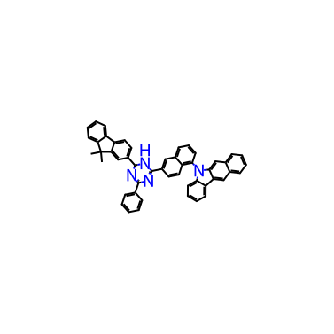 CC1(C)c2ccccc2-c2ccc(C3N=C(c4ccccc4)N=C(c4ccc5c(-n6c7ccccc7c7cc8ccccc8cc76)cccc5c4)N3)cc21